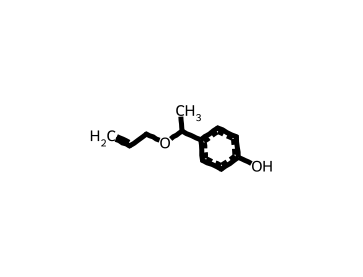 C=CCOC(C)c1ccc(O)cc1